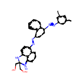 Cc1cc(C)cc(N=Nc2ccc(N=Nc3ccc4c5c(cccc35)NC(CO)(CO)N4)c3ccccc23)c1